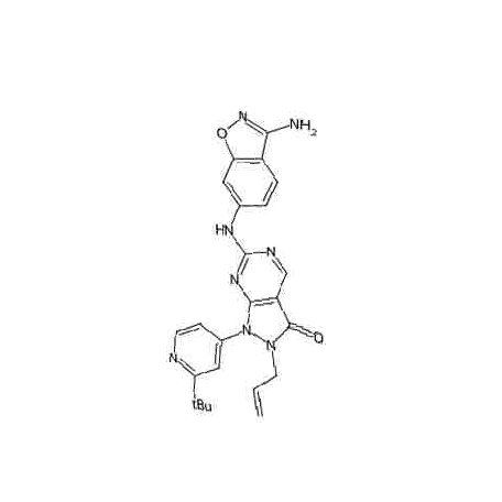 C=CCn1c(=O)c2cnc(Nc3ccc4c(N)noc4c3)nc2n1-c1ccnc(C(C)(C)C)c1